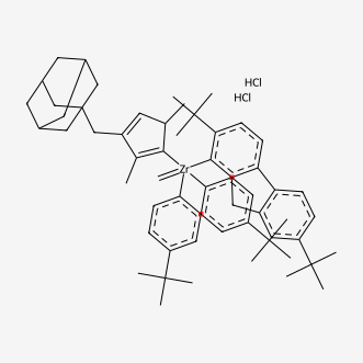 Cl.Cl.[CH2]=[Zr]([C]1=C(C)C(CC23CC4CC(CC(C4)C2)C3)=CC1C)([c]1ccc(C(C)(C)C)cc1)([c]1ccc(C(C)(C)C)cc1)[c]1c(C(C)(C)C)ccc2c1Cc1cc(C(C)(C)C)ccc1-2